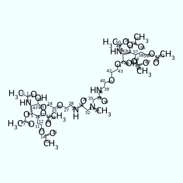 CC(=O)N/C(=C(\OC(C)=O)C(CCOC(C)=O)OC(C)=O)C(O)OCCOCCNC(=O)CN(C)CC(=O)NCCOCCOC(O)/C(NC(C)=O)=C(/OC(C)=O)C(CCOC(C)=O)OC(C)=O